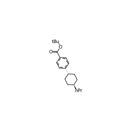 CCC[C@H]1CC[C@H](c2ccc(C(=O)OC(C)(C)C)cc2)CC1